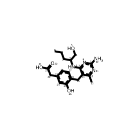 CCCC(CO)Nc1nc(N)nc(C)c1Cc1ccc(CC(=O)O)cc1O